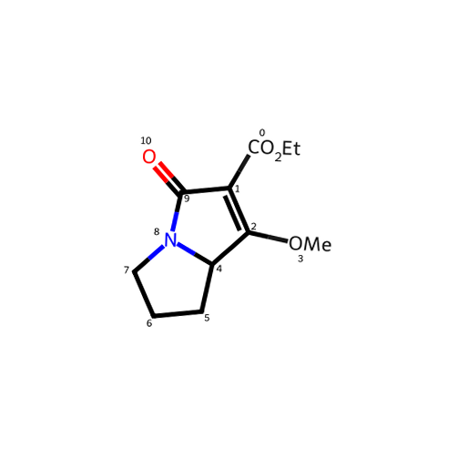 CCOC(=O)C1=C(OC)C2CCCN2C1=O